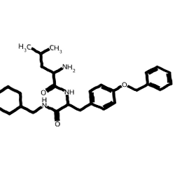 CC(C)CC(N)C(=O)NC(Cc1ccc(OCc2ccccc2)cc1)C(=O)NCC1CCCCC1